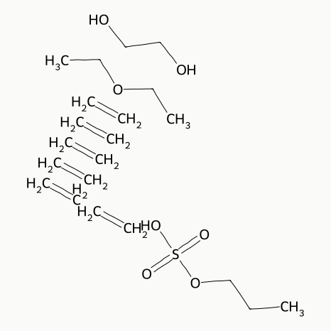 C=C.C=C.C=C.C=C.C=C.C=C.CCCOS(=O)(=O)O.CCOCC.OCCO